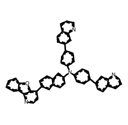 c1cnc2cc(-c3ccc(N(c4ccc(-c5ccc6cccnc6c5)cc4)c4ccc5cc(-c6ccnc7c6oc6ccccc67)ccc5c4)cc3)ccc2c1